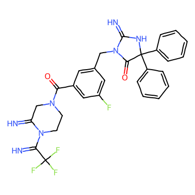 N=C1CN(C(=O)c2cc(F)cc(CN3C(=N)NC(c4ccccc4)(c4ccccc4)C3=O)c2)CCN1C(=N)C(F)(F)F